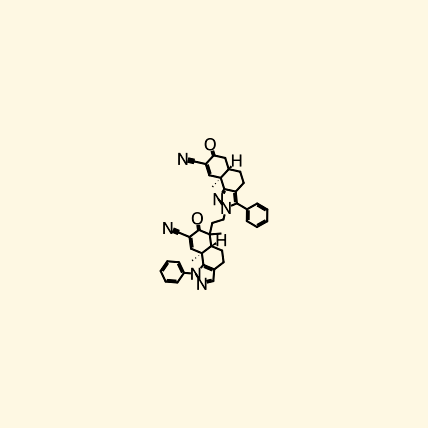 CC1(CCn2nc3c(c2-c2ccccc2)CC[C@H]2CC(=O)C(C#N)=C[C@]32C)C(=O)C(C#N)=C[C@]2(C)c3c(cnn3-c3ccccc3)CC[C@@H]12